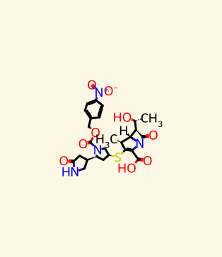 C[C@@H](O)[C@H]1C(=O)N2C(C(=O)O)=C(S[C@H]3C[C@@H](C4CNC(=O)C4)N(C(=O)OCc4ccc([N+](=O)[O-])cc4)C3)[C@H](C)[C@H]12